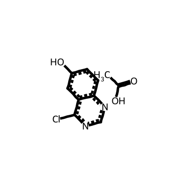 CC(=O)O.Oc1ccc2ncnc(Cl)c2c1